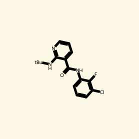 CC(C)(C)Nc1ncccc1C(=O)Nc1cccc(Cl)c1F